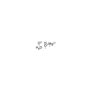 O.O.[Mg+2].[O-2]